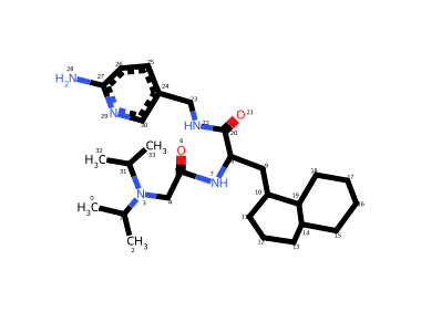 CC(C)N(CC(=O)NC(CC1CCCC2CCCCC21)C(=O)NCc1ccc(N)nc1)C(C)C